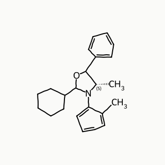 Cc1ccccc1N1C(C2CCCCC2)OC(c2ccccc2)[C@@H]1C